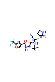 CC(C)(C)C[C@H](NC(=O)c1coc(C(F)(F)F)n1)C(=O)N[C@H](C#N)C[C@@H]1CCNC1=O